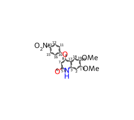 COc1cc2[nH]c(=O)cc(Oc3ccc([N+](=O)[O-])cc3)c2cc1OC